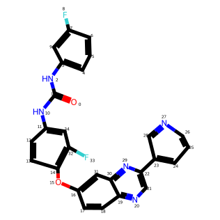 O=C(Nc1cccc(F)c1)Nc1ccc(Oc2ccc3ncc(-c4cccnc4)nc3c2)c(F)c1